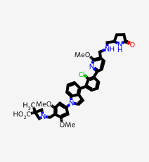 COc1cc(-n2ccc3c(-c4cccc(-c5ccc(CNCC6CCC(=O)N6)c(OC)n5)c4Cl)cccc32)cc(OC)c1CN1CC(C)(C(=O)O)C1